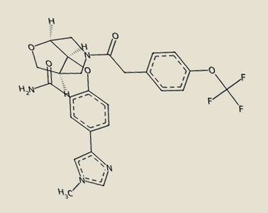 Cn1cnc(-c2ccc(O[C@H]3[C@@H]4CO[C@H]3CN(C(=O)Cc3ccc(OC(F)(F)F)cc3)C4)c(C(N)=O)c2)c1